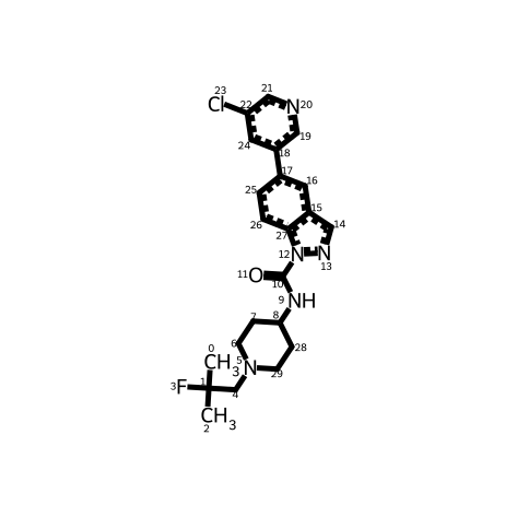 CC(C)(F)CN1CCC(NC(=O)n2ncc3cc(-c4cncc(Cl)c4)ccc32)CC1